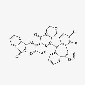 O=C1OC(Oc2c3n(ccc2=O)N(C2c4ccccc4-c4occc4-c4c2ccc(F)c4F)C2COCCN2C3=O)c2ccccc21